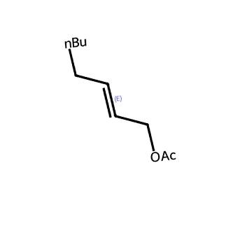 CCCCC/C=C/COC(C)=O